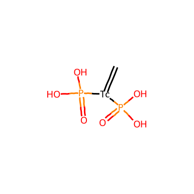 [CH2]=[Tc]([P](=O)(O)O)[P](=O)(O)O